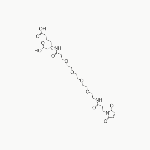 O=C(O)CCC[C@@H](CC(=O)O)NC(=O)CCOCCOCCOCCOCCNC(=O)CCN1C(=O)C=CC1=O